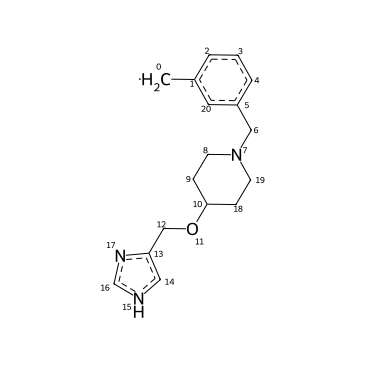 [CH2]c1cccc(CN2CCC(OCc3c[nH]cn3)CC2)c1